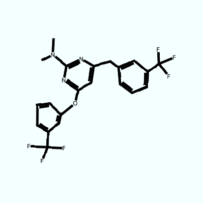 CN(C)c1nc(Cc2cccc(C(F)(F)F)c2)cc(Oc2cccc(C(F)(F)F)c2)n1